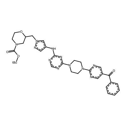 CC(C)(C)OC(=O)N1CCOC(Cn2cc(Nc3ncnc(N4CCN(c5ncc(C(=O)c6ccccc6)cn5)CC4)n3)cn2)C1